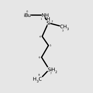 CCC(C)N[SiH](C)CCC[SiH2]C